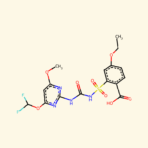 CCOc1ccc(C(=O)O)c(S(=O)(=O)NC(=O)Nc2nc(OC)cc(OC(F)F)n2)c1